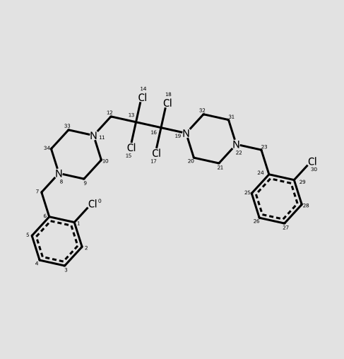 Clc1ccccc1CN1CCN(CC(Cl)(Cl)C(Cl)(Cl)N2CCN(Cc3ccccc3Cl)CC2)CC1